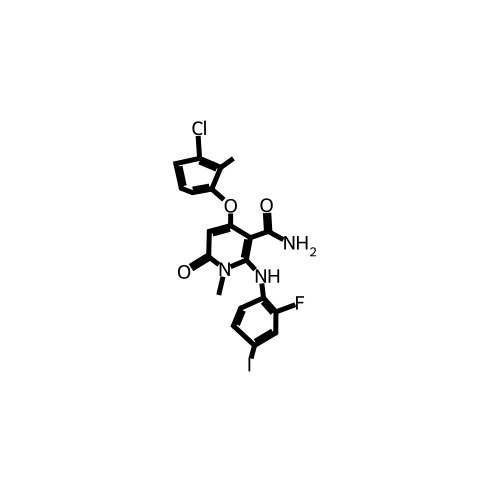 Cc1c(Cl)cccc1Oc1cc(=O)n(C)c(Nc2ccc(I)cc2F)c1C(N)=O